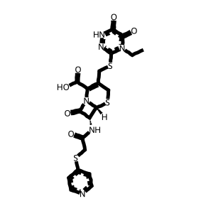 CCn1c(SCC2=C(C(=O)O)N3C(=O)[C@@H](NC(=O)CSc4ccncc4)[C@H]3SC2)n[nH]c(=O)c1=O